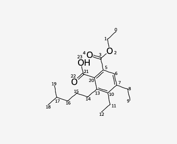 CCOC(=O)c1cc(CC)c(CC)c(CCCC(C)C)c1C(=O)O